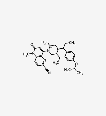 CCC1CN(c2cc(=O)n(C)c3ccc(C#N)nc23)[C@@H](C)CN1C(CC)c1ccc(OC(C)C)cc1